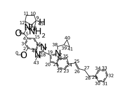 COc1cc(C(=O)N2C[C@H]3CCC2C3N)cc2nc(-c3cc4ccc(/C=C/CCc5ccccc5)cc4n3CC3CC3)n(C)c12